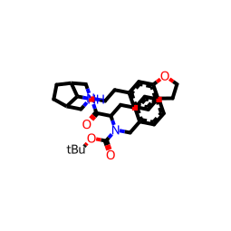 CC(C)(C)OC(=O)N1Cc2ccccc2CC1C(=O)NC1C2CCC1CN(CCc1ccc3c(c1)OCC3)C2